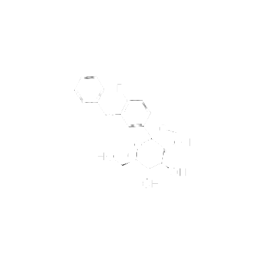 CO[C@@]1(c2ccc(F)c(Cc3ccccc3)c2)O[C@H](CO)[C@@H](O)[C@H](O)[C@H]1O